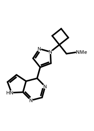 CNCC1(n2cc(C3N=CN=C4NC=CC43)cn2)CCC1